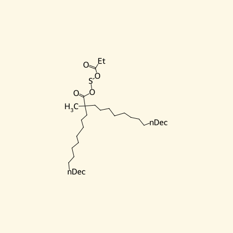 CCCCCCCCCCCCCCCCCCC(C)(CCCCCCCCCCCCCCCCCC)C(=O)OSOC(=O)CC